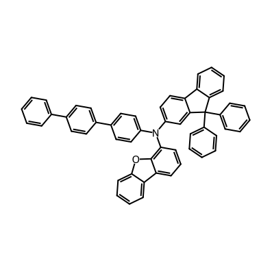 c1ccc(-c2ccc(-c3ccc(N(c4ccc5c(c4)C(c4ccccc4)(c4ccccc4)c4ccccc4-5)c4cccc5c4oc4ccccc45)cc3)cc2)cc1